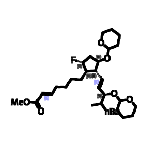 CCCCC(C)[C@@H](/C=C/[C@@H]1[C@@H](CCCC/C=C/C(=O)OC)[C@H](F)C[C@H]1OC1CCCCO1)OC1CCCCO1